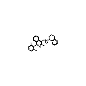 Cc1cccc(C)c1-c1nc(C)c(CN(C)C2CCCc3ccccc32)c2ccccc12